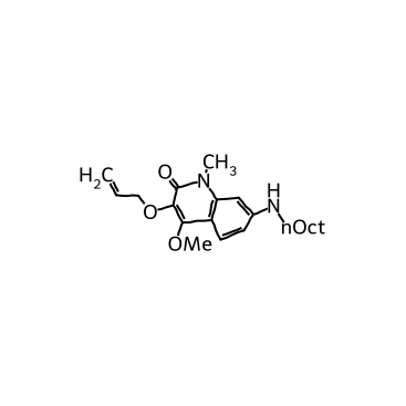 C=CCOc1c(OC)c2ccc(NCCCCCCCC)cc2n(C)c1=O